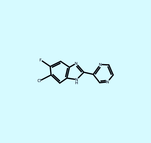 Fc1cc2nc(-c3cnccn3)[nH]c2cc1Cl